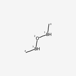 CBOBC